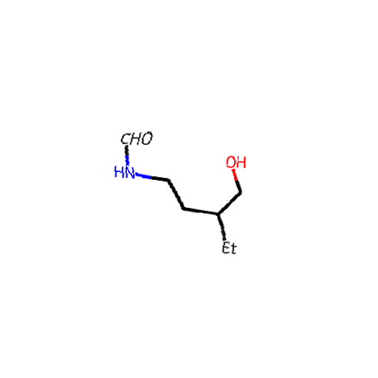 CCC(CO)CCNC=O